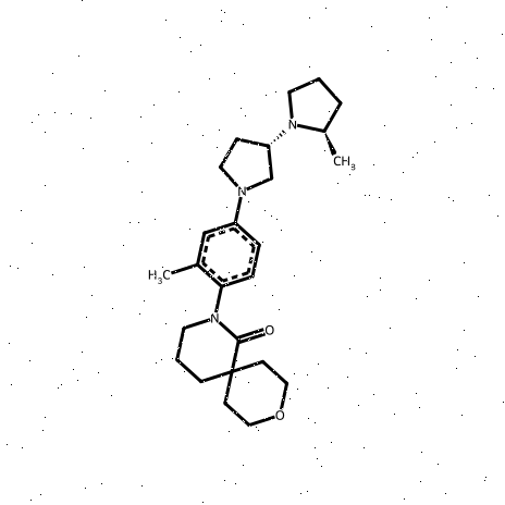 Cc1cc(N2CC[C@H](N3CCC[C@H]3C)C2)ccc1N1CCCC2(CCOCC2)C1=O